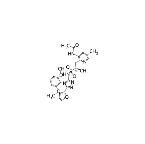 COc1cccc(OC)c1-n1c(NS(=O)(=O)[C@H](C)Cc2ncc(C)cc2NC(C)=O)nnc1-c1ccco1